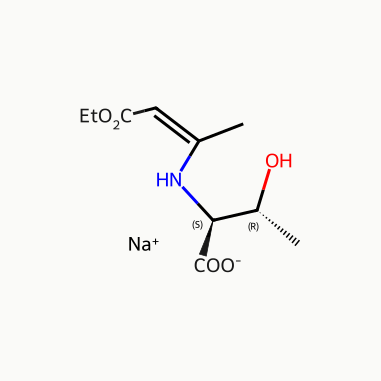 CCOC(=O)C=C(C)N[C@H](C(=O)[O-])[C@@H](C)O.[Na+]